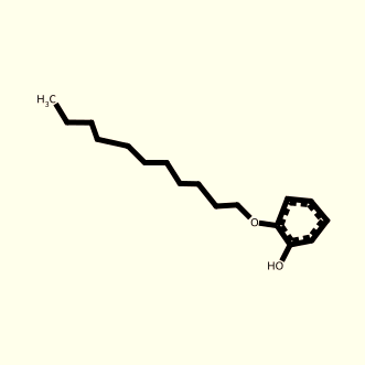 CCCCCCCCCCCOc1ccccc1O